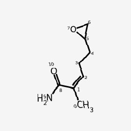 CC(=CCCC1CO1)C(N)=O